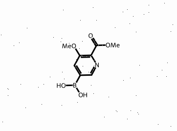 COC(=O)c1ncc(B(O)O)cc1OC